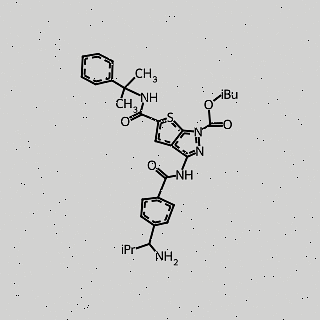 CCC(C)OC(=O)n1nc(NC(=O)c2ccc(C(N)C(C)C)cc2)c2cc(C(=O)NC(C)(C)c3ccccc3)sc21